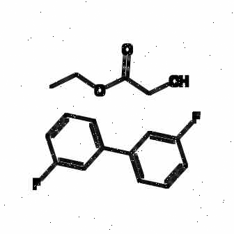 CCOC(=O)CO.Fc1cccc(-c2cccc(F)c2)c1